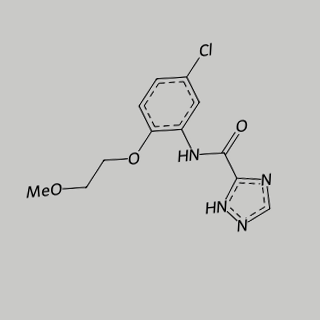 COCCOc1ccc(Cl)cc1NC(=O)c1ncn[nH]1